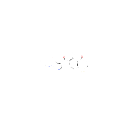 CCn1ncc(C(=O)c2ccc3c(c2C)C(=O)CCS3(=O)=O)c1O